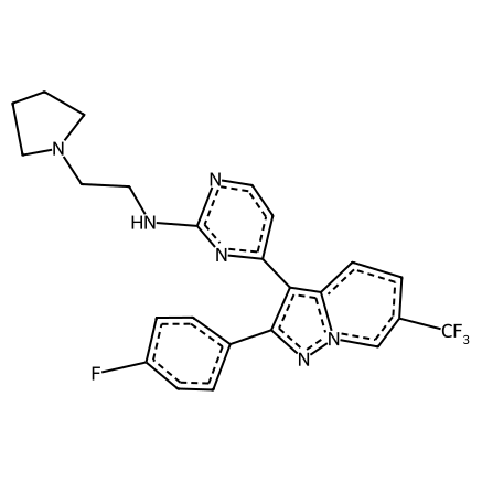 Fc1ccc(-c2nn3cc(C(F)(F)F)ccc3c2-c2ccnc(NCCN3CCCC3)n2)cc1